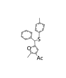 CC(=O)c1cc(C(Sc2ccc(C)cc2)c2ccccc2)oc1C